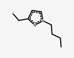 CCCCn1ccc(CI)n1